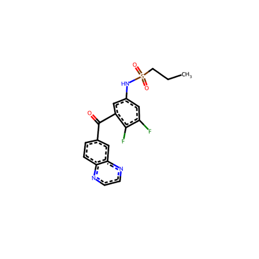 CCCS(=O)(=O)Nc1cc(F)c(F)c(C(=O)c2ccc3nccnc3c2)c1